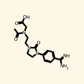 CC(=O)N(CCN1CCN(c2ccc(C(=N)N)cc2)C1=O)CC(=O)O